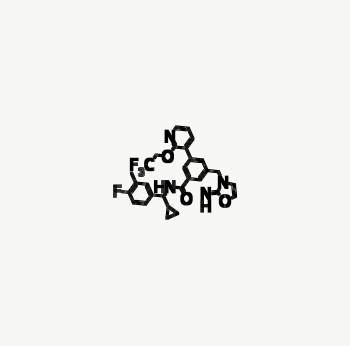 Cc1cc([C@@H](NC(=O)c2cc(Cn3ccoc3=N)cc(-c3cccnc3OCC(F)(F)F)c2)C2CC2)ccc1F